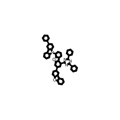 c1ccc(-c2ccc3c(c2)c2ccccc2n3-c2cccc3c2oc2cc(-c4ccc5oc6ccccc6c5c4)cc(-c4nc(-c5ccccc5)nc(-c5ccccc5)n4)c23)cc1